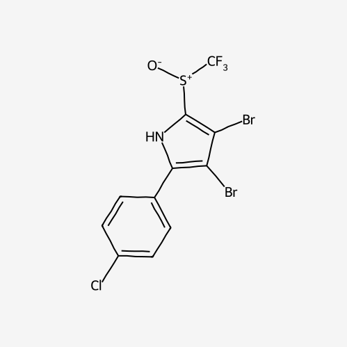 [O-][S+](c1[nH]c(-c2ccc(Cl)cc2)c(Br)c1Br)C(F)(F)F